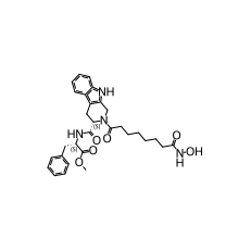 COC(=O)[C@H](Cc1ccccc1)NC(=O)[C@@H]1Cc2c([nH]c3ccccc23)CN1C(=O)CCCCCCC(=O)NO